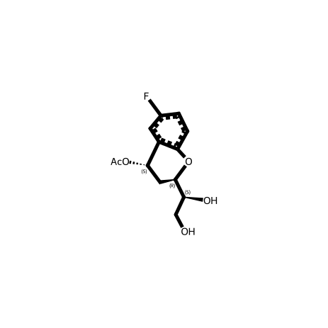 CC(=O)O[C@H]1C[C@H]([C@@H](O)CO)Oc2ccc(F)cc21